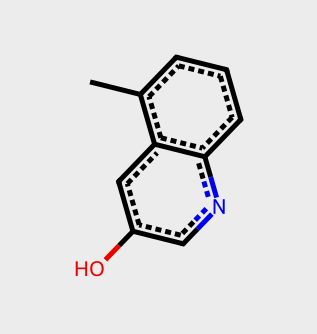 Cc1cccc2ncc(O)cc12